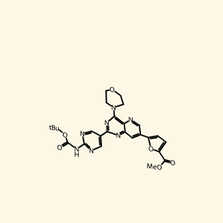 COC(=O)c1ccc(-c2cnc3c(N4CCOCC4)nc(-c4cnc(NC(=O)OC(C)(C)C)nc4)nc3c2)o1